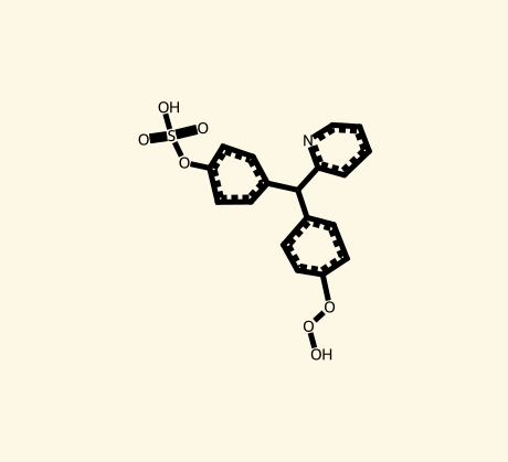 O=S(=O)(O)Oc1ccc(C(c2ccc(OOO)cc2)c2ccccn2)cc1